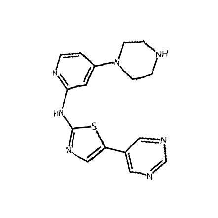 c1ncc(-c2cnc(Nc3cc(N4CCNCC4)ccn3)s2)cn1